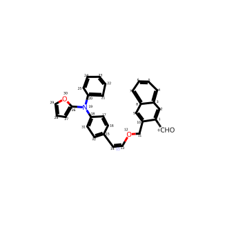 O=Cc1cc2ccccc2cc1CO/C=C\c1ccc(N(c2ccccc2)c2ccco2)cc1